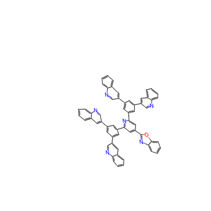 c1ccc2ncc(-c3cc(-c4cnc5ccccc5c4)cc(-c4cc(-c5nc6ccccc6o5)cc(-c5cc(-c6cnc7ccccc7c6)cc(-c6cnc7ccccc7c6)c5)n4)c3)cc2c1